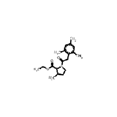 CCOC(=O)C1C(C)CCN1C(=O)Cc1c(C)cc(C)cc1C